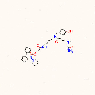 CN(CCCC(=O)N(CCCCCNC(=O)CCOC(=O)N(c1ccccc1-c1ccccc1)N1CC[CH]CC1)Cc1ccc(O)cc1)CC(N)=O